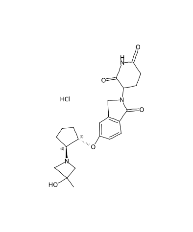 CC1(O)CN([C@H]2CCC[C@@H]2Oc2ccc3c(c2)CN(C2CCC(=O)NC2=O)C3=O)C1.Cl